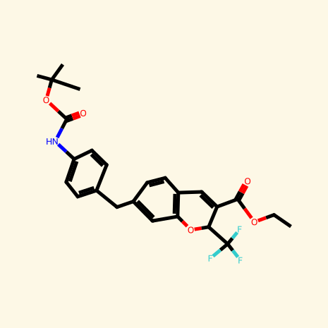 CCOC(=O)C1=Cc2ccc(Cc3ccc(NC(=O)OC(C)(C)C)cc3)cc2OC1C(F)(F)F